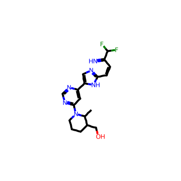 CC1C(CO)CCCN1c1cc(-c2cnc(/C=C\C(=N)C(F)F)[nH]2)ncn1